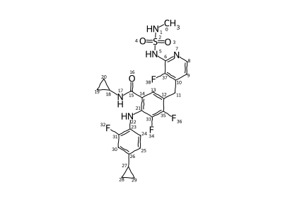 CNS(=O)(=O)Nc1nccc(Cc2cc(C(=O)NC3CC3)c(Nc3ccc(C4CC4)cc3F)c(F)c2F)c1F